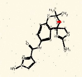 CCCn1ccc(C(=O)Nc2ccc3c(c2)C2(COC(N)=N2)C2(COC2)C(C)(C)O3)n1